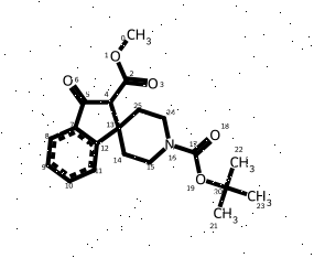 COC(=O)C1C(=O)c2ccccc2C12CCN(C(=O)OC(C)(C)C)CC2